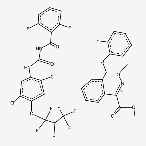 CO/N=C(/C(=O)OC)c1ccccc1COc1ccccc1C.O=C(NC(=O)c1c(F)cccc1F)Nc1cc(Cl)c(OC(F)(F)C(F)C(F)(F)F)cc1Cl